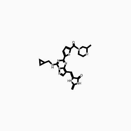 C=c1[nH]c(=O)/c(=C/c2cnn3c(NCC4CC4)nc(-c4ccc(C(=O)N5CCOC(C)C5)s4)nc23)[nH]1